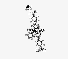 CCN(CC)c1ccc(-c2cc3c(s2)C(=O)c2sc(-c4ccc(N(CC)CCCC(C)(C)C)cc4)cc2[PH]3(O)c2ccccc2)cc1